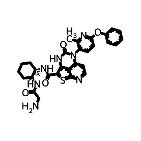 Cc1nc(Oc2ccccc2)ccc1N1C(=O)Nc2c(C(=O)N[C@H]3CCCC[C@H]3NC(=O)CN)sc3nccc1c23